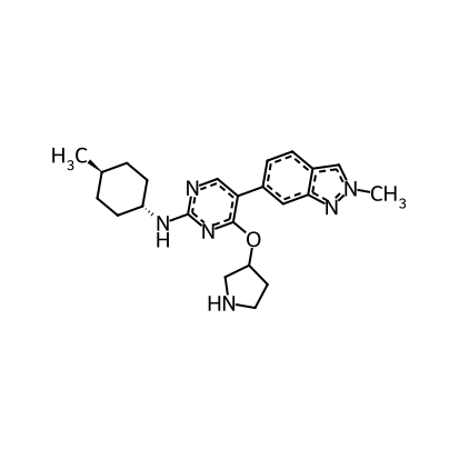 Cn1cc2ccc(-c3cnc(N[C@H]4CC[C@H](C)CC4)nc3OC3CCNC3)cc2n1